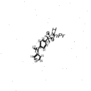 CCCNS(=O)(=O)C(C)(C)c1ccc(N(C)c2ccsc2)cc1